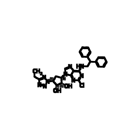 CCc1nnn([C@H]2C[C@@H](n3cnc4c(NCC(c5ccccc5)c5ccccc5)nc(Cl)nc43)[C@H](O)[C@@H]2O)n1